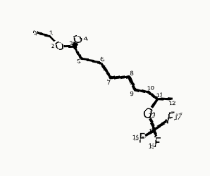 CCOC(=O)CCCCCCC(C)OC(F)(F)F